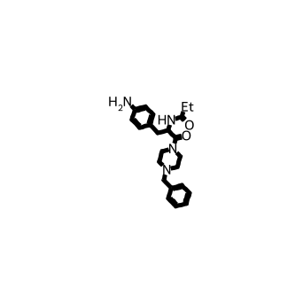 CCC(=O)NC(Cc1ccc(N)cc1)C(=O)N1CCN(Cc2ccccc2)CC1